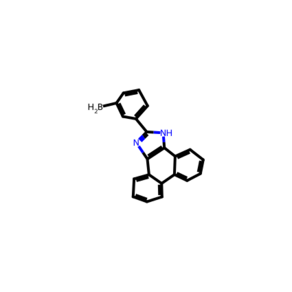 Bc1cccc(-c2nc3c4ccccc4c4ccccc4c3[nH]2)c1